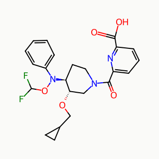 O=C(O)c1cccc(C(=O)N2CC[C@H](N(OC(F)F)c3ccccc3)[C@@H](OCC3CC3)C2)n1